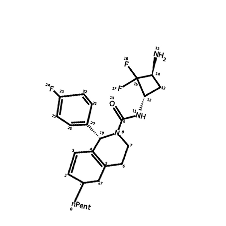 CCCCCC1C=CC2=C(CCN(C(=O)N[C@H]3C[C@H](N)C3(F)F)[C@H]2c2ccc(F)cc2)C1